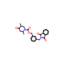 CC1CN(C(=O)OCc2cccc(CN3C(=O)c4ccccc4C3=O)c2)C(C)CC1=O